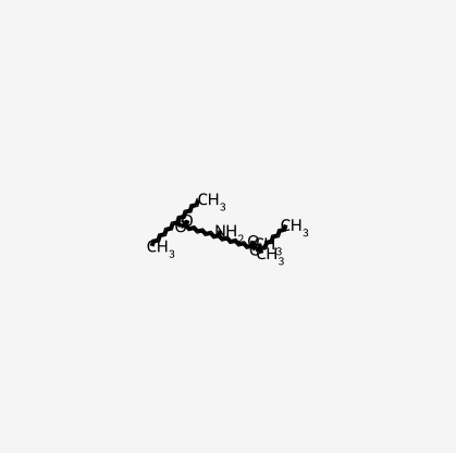 CCCCCCCCC(CCCCCCCC)OC(=O)CCCCCCCC(N)CCCCCCCC(=O)OC(C)(C)CCCCCCCC